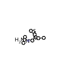 Nc1ccccc1C(/N=C/c1cccc(-n2c3ccc(-c4ccccc4)cc3c3cc4sc5ccccc5c4cc32)c1)c1ccccc1